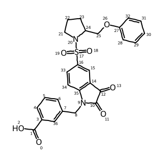 O=C(O)c1cccc(CN2C(=O)C(=O)c3cc(S(=O)(=O)N4CCCC4COc4ccccc4)ccc32)c1